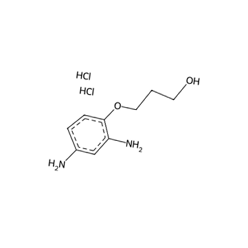 Cl.Cl.Nc1ccc(OCCCO)c(N)c1